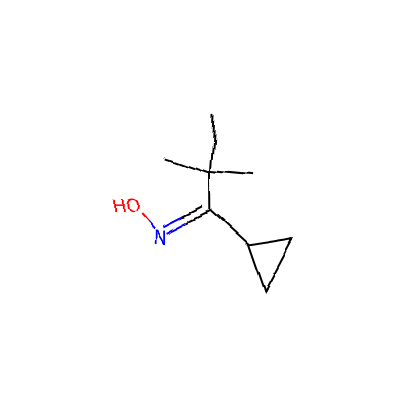 CC(C)(C)C(=NO)C1CC1